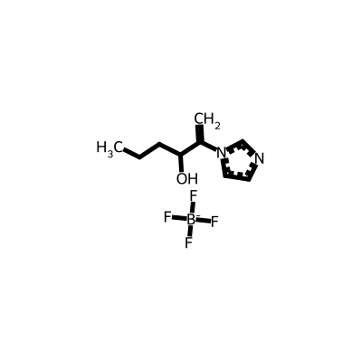 C=C(C(O)CCC)n1ccnc1.F[B-](F)(F)F